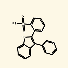 NS(=O)(=O)c1ccccc1-c1[nH]c2ccccc2c1-c1ccccc1